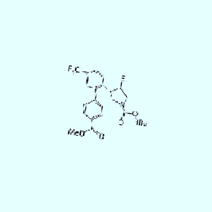 CC[C@H]1CN(C(=O)OC(C)(C)C)C[C@@H]1c1ccc(C(F)(F)F)cc1-c1ccc(C(=O)OC)cc1